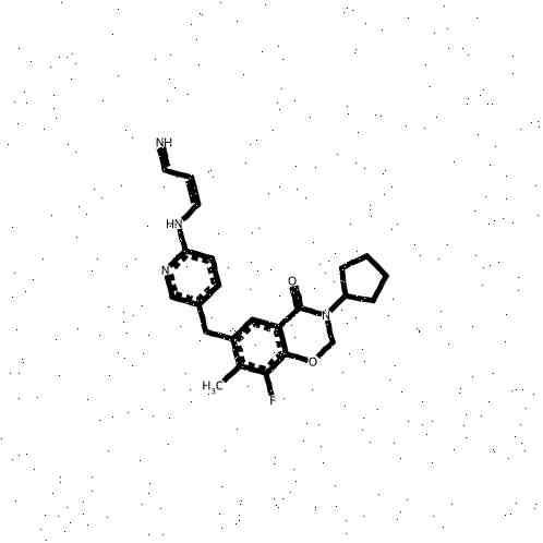 Cc1c(Cc2ccc(N/C=C\C=N)nc2)cc2c(c1F)OCN(C1CCCC1)C2=O